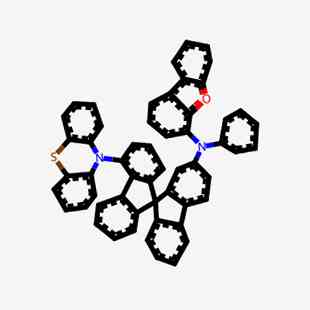 c1ccc(N(c2ccc3c(c2)C2(c4ccccc4-3)c3ccccc3-c3c(N4c5ccccc5Sc5ccccc54)cccc32)c2cccc3c2oc2ccccc23)cc1